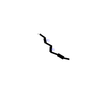 [CH2]/C=C/C=C/C#CC